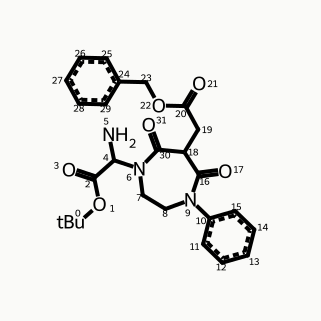 CC(C)(C)OC(=O)C(N)N1CCN(c2ccccc2)C(=O)C(CC(=O)OCc2ccccc2)C1=O